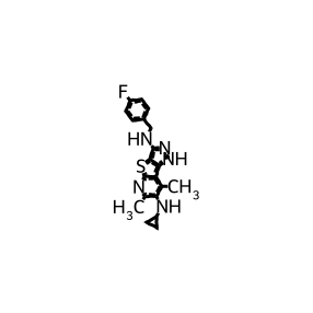 Cc1nc2sc3c(NCc4ccc(F)cc4)n[nH]c3c2c(C)c1NC1CC1